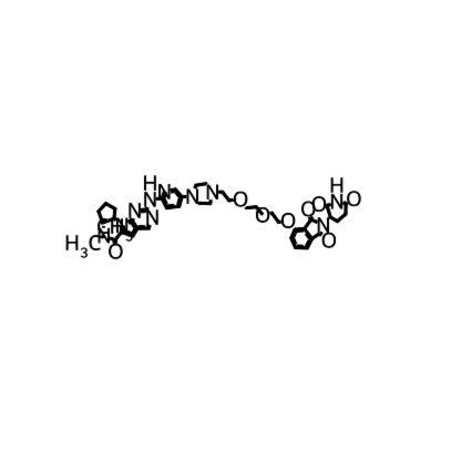 CN(C)C(=O)c1cc2cnc(Nc3ccc(N4CCN(CCOCCOCCOc5cccc6c5C(=O)N(C5CCC(=O)NC5=O)C6=O)CC4)cn3)nc2n1C1CCCC1